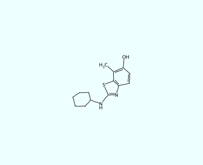 Cc1c(O)ccc2nc(NC3CCCCC3)sc12